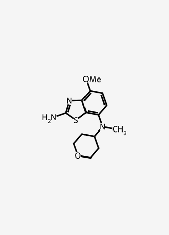 COc1ccc(N(C)C2CCOCC2)c2sc(N)nc12